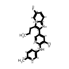 CCCc1c(-c2cnc(Nc3ccc(C)nc3)c(Cl)c2)nc2ccc(F)cn12